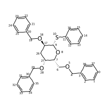 c1ccc(COC[C@H]2O[C@@H](Sc3ccccc3)[C@H](OCc3ccccc3)C[C@H]2OCc2ccccc2)cc1